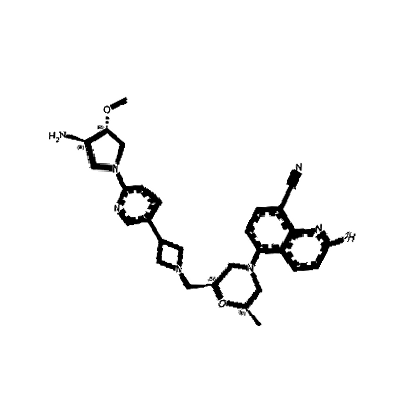 [2H]c1ccc2c(N3C[C@H](CN4CC(c5ccc(N6C[C@@H](N)[C@H](OC)C6)nc5)C4)O[C@H](C)C3)ccc(C#N)c2n1